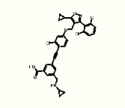 O=C(O)c1cc(C#Cc2ccc(OCc3c(-c4c(Cl)cccc4Cl)noc3C3CC3)cc2Cl)cc(CNC2CC2)c1